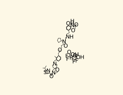 Cc1c(CCOCCC(=O)N(CCNCCc2ccc(O)c3c2OCC(=O)N3)C2CCCC2)cccc1CN1CCC2(CC1)CN(C(=O)c1csc(C(C)C)n1)CCO2.O=C(O)C(F)(F)F.O=C(O)C(F)(F)F